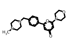 CN1CCN(Cc2ccc(-c3cc(=O)cc(N4CCOCC4)o3)cc2)CC1